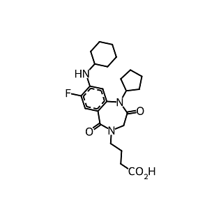 O=C(O)CCCN1CC(=O)N(C2CCCC2)c2cc(NC3CCCCC3)c(F)cc2C1=O